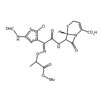 CC(ON=C(C(=O)NC1C(=O)N2C(C(=O)O)=CCS[C@@H]12)c1nc(NC=O)sc1Cl)C(=O)OC(C)(C)C